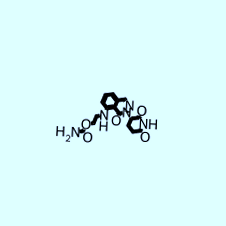 NC(=O)OCCNc1cccc2cnn(C3CCC(=O)NC3=O)c(=O)c12